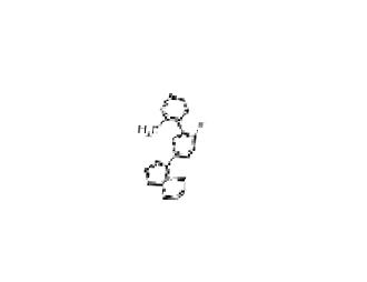 Cc1ccccc1-c1cc(-c2cccc3ccccc23)ccc1F